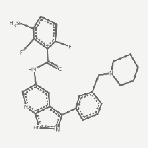 O=C(Nc1cnc2[nH]nc(-c3cccc(CN4CCCCC4)c3)c2c1)c1c(F)ccc([SiH3])c1F